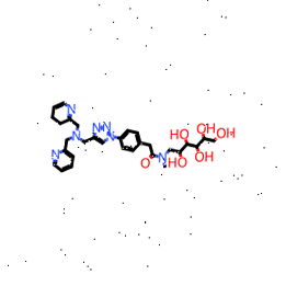 CN(CC(O)C(O)C(O)C(O)CO)C(=O)Cc1ccc(-n2cc(CN(CC3=NC=CCC3)Cc3ccccn3)nn2)cc1